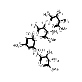 COC(=O)[C@@H](N)C(C)C(N)=O.COC(=O)[C@@H](N)C(C)C(N)=O.COC(=O)[C@@H](N)C(C)C(N)=O.O=C(O)c1cc(C(=O)O)cc(C(=O)O)c1